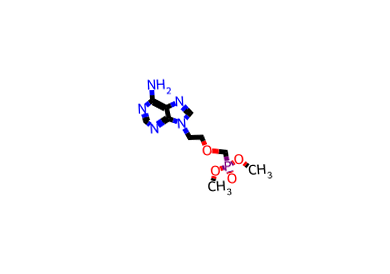 COP(=O)(COCCn1cnc2c(N)ncnc21)OC